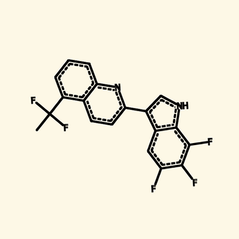 CC(F)(F)c1cccc2nc(-c3c[nH]c4c(F)c(F)c(F)cc34)ccc12